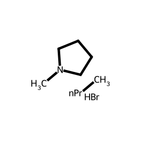 Br.CCCC.CN1CCCC1